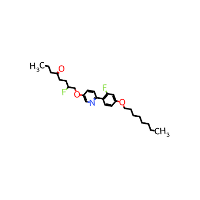 CCCCCCCCOc1ccc(-c2ccc(OCC(F)CCC(=O)CCC)cn2)c(F)c1